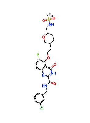 CS(=O)(=O)NCC1CCC(CCOc2c(F)ccc3nc(C(=O)NCc4cccc(Cl)c4)[nH]c(=O)c23)CO1